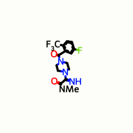 CNC(=O)C(=N)N1CCN(C(=O)c2cc(F)ccc2C(F)(F)F)CC1